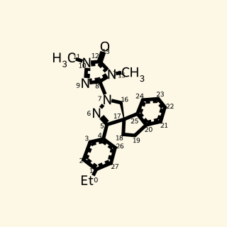 CCc1ccc(C2=NN(c3nn(C)c(=O)n3C)C[C@@]23CCc2ccccc23)cc1